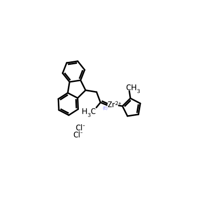 CC1=[C](/[Zr+2]=[C](\C)CC2c3ccccc3-c3ccccc32)CC=C1.[Cl-].[Cl-]